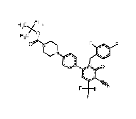 CC(C)(C)OC(=O)N1CCN(c2ccc(-c3cc(C(F)(F)F)c(C#N)c(=O)n3Cc3ccc(F)cc3F)cc2)CC1